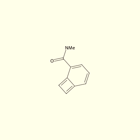 CNC(=O)c1cccc2c1=CC=2